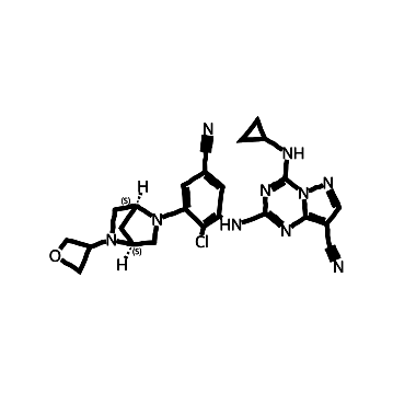 N#Cc1cc(Nc2nc(NC3CC3)n3ncc(C#N)c3n2)c(Cl)c(N2C[C@@H]3C[C@H]2CN3C2COC2)c1